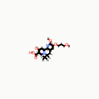 COCCCOc1cc2c(nc1OC)-c1cc(=O)c(C(=O)O)cn1C(C)(C(C)(C)C)C2